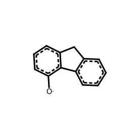 [O]c1cccc2c1-c1ccccc1C2